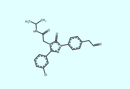 CC(C)NC(=O)Cn1c(-c2cccc(Cl)c2)nn(-c2ccc(CC=O)cc2)c1=O